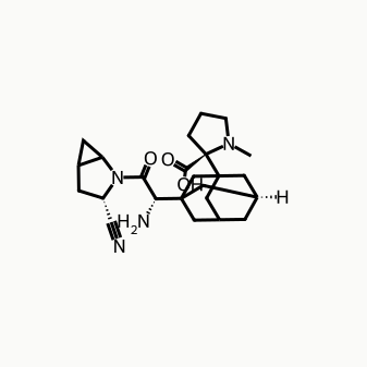 CN1CCC[C@@]1(C(=O)O)C12CC3C[C@@H](CC([C@H](N)C(=O)N4C5CC5C[C@H]4C#N)(C3)C1)C2